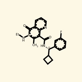 CCNn1c(C)c(C(=O)N[C@H](c2cccc(F)c2)C2CCC2)c2ncccc2c1=O